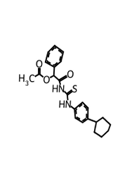 CC(=O)OC(C(=O)NC(=S)Nc1ccc(C2CCCCC2)cc1)c1ccccc1